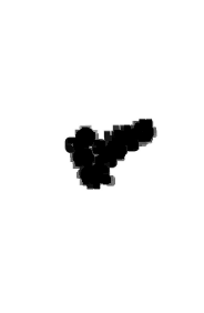 Cn1cc(C=C2Oc3ccc(NC(=O)Nc4cccnc4)cc3C2=O)c2c(N3CCC(C(=O)N4CCCC4)CC3)ccnc21